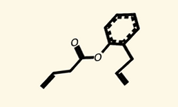 C=CCC(=O)Oc1ccccc1CC=C